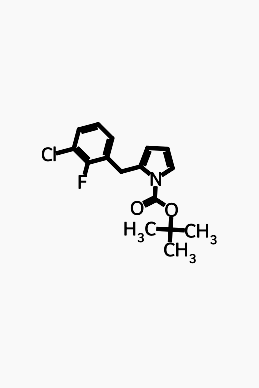 CC(C)(C)OC(=O)n1cccc1Cc1cccc(Cl)c1F